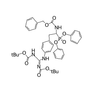 CC(C)(C)OC(=O)N=C(NC(=O)OC(C)(C)C)Nc1ccc(CC(NC(=O)OCc2ccccc2)P(=O)(Oc2ccccc2)Oc2ccccc2)cc1